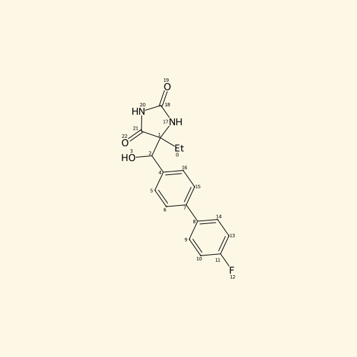 CCC1(C(O)c2ccc(-c3ccc(F)cc3)cc2)NC(=O)NC1=O